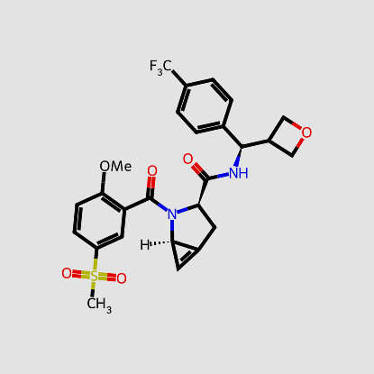 COc1ccc(S(C)(=O)=O)cc1C(=O)N1[C@@H]2C=C2C[C@@H]1C(=O)N[C@@H](c1ccc(C(F)(F)F)cc1)C1COC1